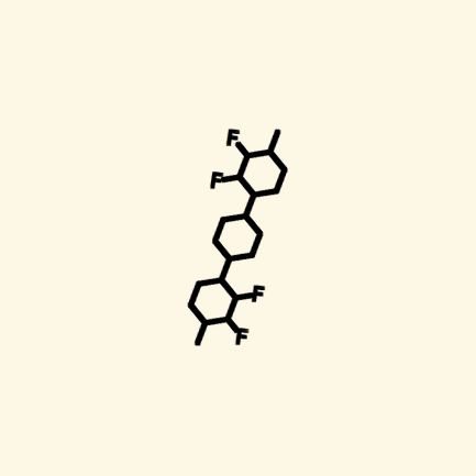 CC1CCC(C2CCC(C3CCC(C)C(F)C3F)CC2)C(F)C1F